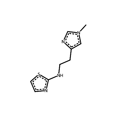 Cn1cnc(CCNc2nccs2)c1